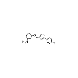 Nc1cccc(OCc2csc(-c3ccc(F)cc3)n2)c1